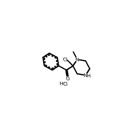 CN1CCNCC1(Cl)C(=O)c1ccccc1.Cl